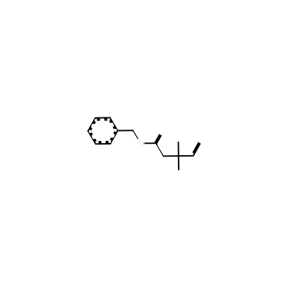 C=CC(C)(C)CC(=S)NCc1ccccc1